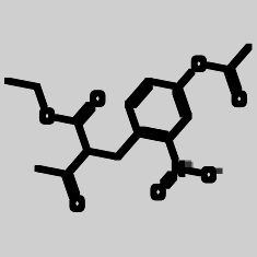 CCOC(=O)C(Cc1ccc(OC(C)=O)cc1[N+](=O)[O-])C(C)=O